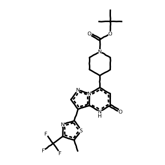 Cc1sc(-c2cnn3c(C4CCN(C(=O)OC(C)(C)C)CC4)cc(=O)[nH]c23)nc1C(F)(F)F